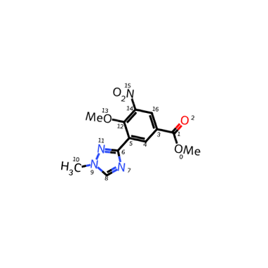 COC(=O)c1cc(-c2ncn(C)n2)c(OC)c([N+](=O)[O-])c1